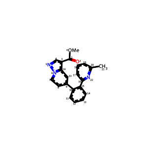 COC(=O)c1cnn2ccc(-c3ccccc3-c3cccc(C)n3)cc12